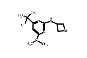 CN(C)c1cc(C(C)(C)C)nc(NC2CNC2)n1